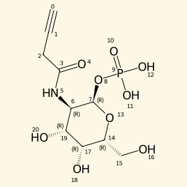 C#CCC(=O)N[C@H]1[C@@H](OP(=O)(O)O)O[C@H](CO)[C@H](O)[C@@H]1O